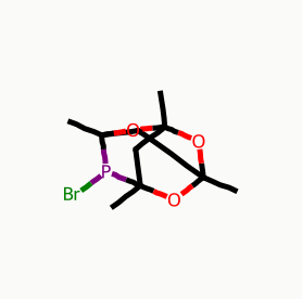 CC12CC3(C)OC(C)(CC(C)(O1)P3Br)O2